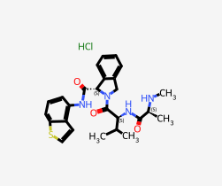 CN[C@@H](C)C(=O)N[C@H](C(=O)N1Cc2ccccc2[C@H]1C(=O)Nc1cccc2sccc12)C(C)C.Cl